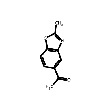 CC(=O)c1ccc2sc(C)nc2c1